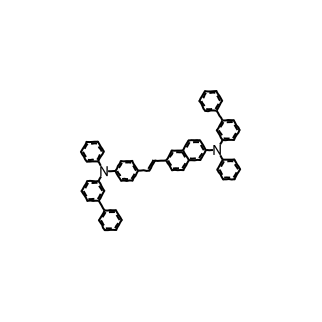 C(=C\c1ccc2cc(N(c3ccccc3)c3cccc(-c4ccccc4)c3)ccc2c1)/c1ccc(N(c2ccccc2)c2cccc(-c3ccccc3)c2)cc1